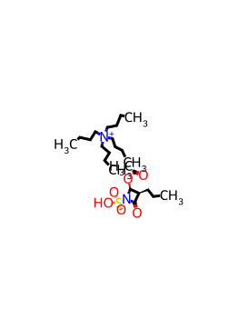 CCCC[N+](CCCC)(CCCC)CCCC.CCC[C@H]1C(=O)N(S(=O)(=O)O)[C@H]1OC(C)=O